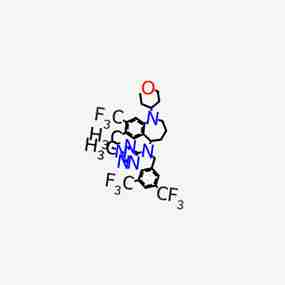 Cc1cc2c(cc1C(F)(F)F)N(C1CCOCC1)CCCC2N(Cc1cc(C(F)(F)F)cc(C(F)(F)F)c1)c1nnn(C)n1